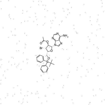 CC(=O)O[C@@H]1[C@@H](Br)[C@@H](CO[Si](c2ccccc2)(c2ccccc2)C(C)(C)C)O[C@H]1n1cnc2c(N)ncnc21